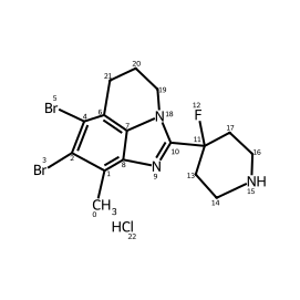 Cc1c(Br)c(Br)c2c3c1nc(C1(F)CCNCC1)n3CCC2.Cl